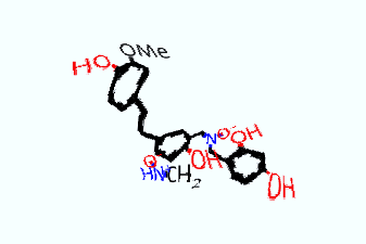 C=[NH+][O-].COc1cc(/C=C/c2ccc(O)c(/C=[N+](/[O-])Cc3ccc(O)cc3O)c2)ccc1O